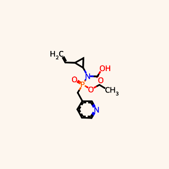 C=CC1CC1N(C(=O)O)P(=O)(Cc1cccnc1)OCC